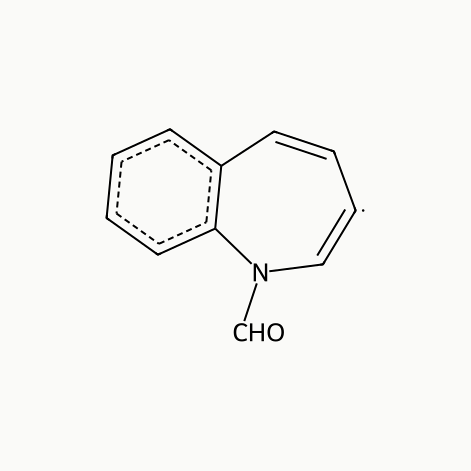 O=CN1C=[C]C=Cc2ccccc21